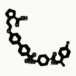 C[C@@H](NC(=O)[C@H]1CC[C@H](NS(=O)(=O)c2ccc(-c3ccc(OCCN4CCC[C@H]4C(=O)O)cc3)cc2)CC1)c1ccc(F)cc1